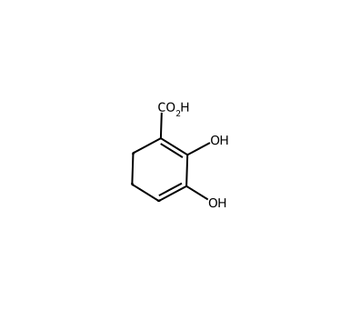 O=C(O)C1=C(O)C(O)=CCC1